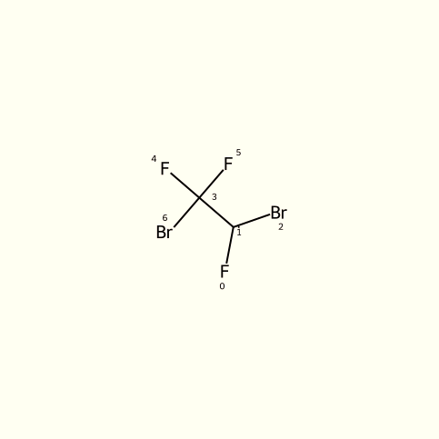 F[C](Br)C(F)(F)Br